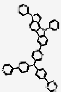 c1ccc(-n2ccc3c2ccc2c4cc(-c5ccc(N(c6ccc(-c7ccncc7)cc6)c6ccc(-c7ncncn7)cc6)cc5)ccc4n(-c4ccccc4)c23)cc1